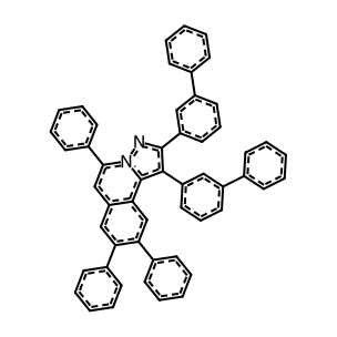 c1ccc(-c2cccc(-c3nn4c(-c5ccccc5)cc5cc(-c6ccccc6)c(-c6ccccc6)cc5c4c3-c3cccc(-c4ccccc4)c3)c2)cc1